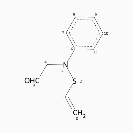 C=CSN(CC=O)c1ccccc1